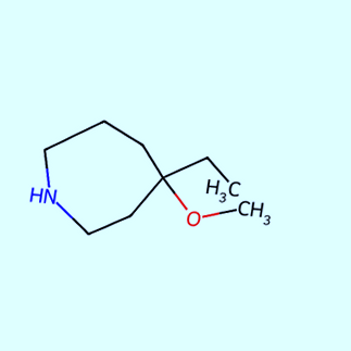 CCC1(OC)CCCNCC1